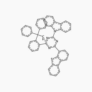 CC(c1ccccc1)(c1ccccc1)c1ccccc1-c1nc(-c2cccc3c2sc2ccccc23)nc(-n2c3ccccc3c3ccccc32)n1